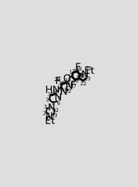 CCN1CCN(C2C=NC(Nc3ncnc(Oc4cc(F)c5c(ccn5CC)c4F)c3F)=CC2)CC1